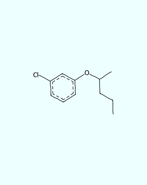 CCCC(C)Oc1cccc(Cl)c1